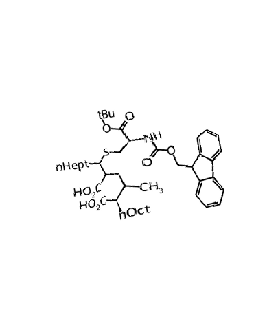 CCCCCCCC[C@@H](C(=O)O)C(C)CC(C(=O)O)C(CCCCCCC)SC[C@H](NC(=O)OCC1c2ccccc2-c2ccccc21)C(=O)OC(C)(C)C